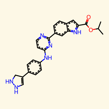 CC(C)OC(=O)c1cc2ccc(-c3nccc(Nc4ccc(C5=CNNC5)cc4)n3)cc2[nH]1